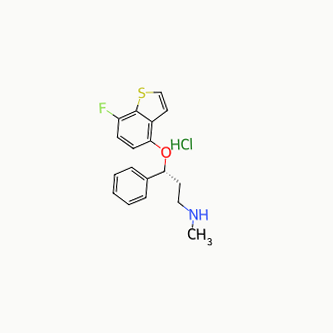 CNCC[C@@H](Oc1ccc(F)c2sccc12)c1ccccc1.Cl